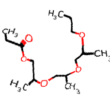 CCCOC(C)COC(C)COC(C)COC(=O)CC